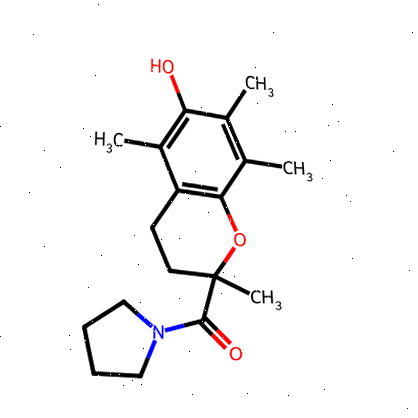 Cc1c(C)c2c(c(C)c1O)CCC(C)(C(=O)N1CCCC1)O2